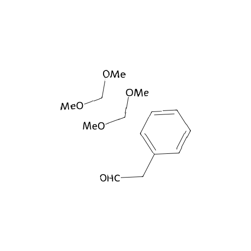 COCOC.COCOC.O=CCc1ccccc1